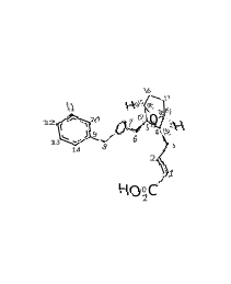 O=C(O)C=CC[C@H]1[C@@H](COCc2ccccc2)[C@H]2CC[C@@H]1O2